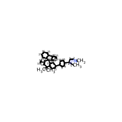 C=N/C=C\C(=C/C)c1ccc(-c2ccc3c(c2)C2(c4ccccc4-c4ccccc42)c2ccccc2C3(C)C)cc1